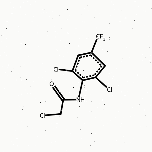 O=C(CCl)Nc1c(Cl)cc(C(F)(F)F)cc1Cl